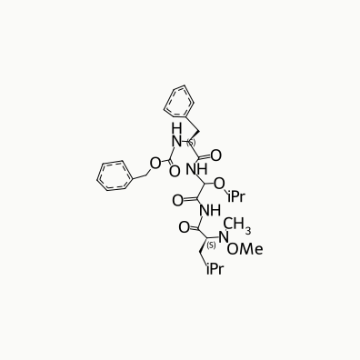 CON(C)[C@@H](CC(C)C)C(=O)NC(=O)C(NC(=O)[C@H](Cc1ccccc1)NC(=O)OCc1ccccc1)OC(C)C